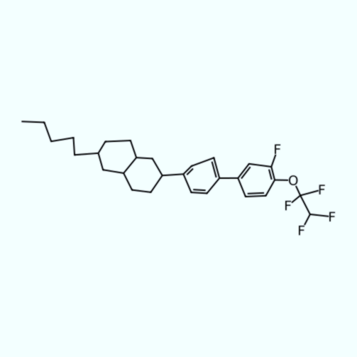 CCCCCC1CCC2CC(c3ccc(-c4ccc(OC(F)(F)C(F)F)c(F)c4)cc3)CCC2C1